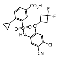 N#Cc1cc(NS(=O)(=O)c2cc(C(=O)O)ccc2C2CC2)c(OC2CC(F)(F)C2)cc1Cl